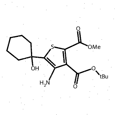 COC(=O)c1sc(C2(O)CCCCC2)c(N)c1C(=O)OC(C)(C)C